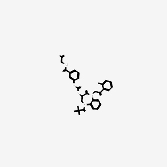 Cc1ccccc1C(=O)CN1C(=O)C(NC(=O)Nc2cccc(C(=O)NCC(=O)O)c2)CN(C(=O)C(C)(C)C)c2ccccc21